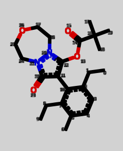 CCc1ccc(C)c(CC)c1-c1c(OC(=O)C(C)(C)C)n2n(c1=O)CCOCC2